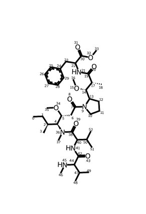 CC[C@H](C)[C@@H]([C@@H](CC(=O)N1CCCC1[C@H](OC)[C@@H](C)C(=O)NC(Cc1ccccc1)C(=O)OC)OC)N(C)C(=O)C(NC(=O)C(NC)C(C)C)C(C)C